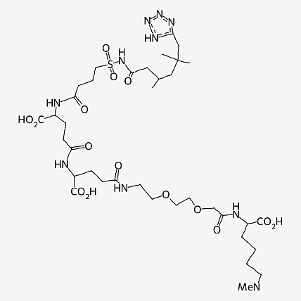 CNCCCCC(NC(=O)COCCOCCNC(=O)CCC(NC(=O)CCC(NC(=O)CCCS(=O)(=O)NC(=O)CC(C)CC(C)(C)Cc1nnn[nH]1)C(=O)O)C(=O)O)C(=O)O